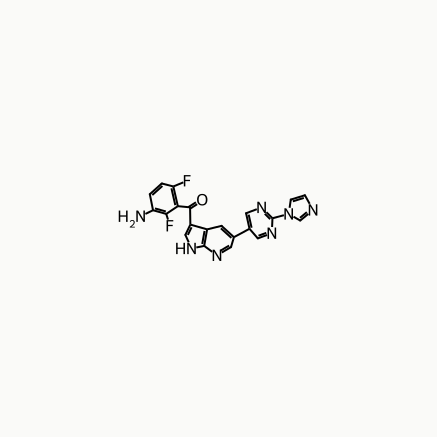 Nc1ccc(F)c(C(=O)c2c[nH]c3ncc(-c4cnc(-n5ccnc5)nc4)cc23)c1F